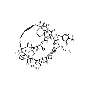 CCO[C@@H]1C[C@H]2C(=O)NC3(CCC3)C(=O)N(C)[C@@H](C(CC)CC)C(=O)N(C)[C@H](C(=O)N3CCCC3)CC(=O)N(C)[C@H]3CCC/C=C/c4ccc(cc4)C[C@@H](C(=O)N(C)CC(=O)N[C@@H](CCc4cc(F)c(C(F)(F)F)c(F)c4)C(=O)N2C1)N1CC/C=C\C[C@@H](C1=O)N(C)C(=O)CN(C1CC1)C(=O)[C@H]([C@@H](C)CC)NC3=O